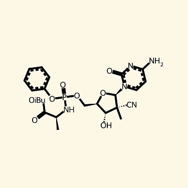 CC(C)COC(=O)[C@H](C)NP(=O)(OC[C@H]1O[C@@H](n2ccc(N)nc2=O)[C@](C)(C#N)[C@@H]1O)Oc1ccccc1